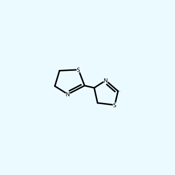 [C]1=NC(C2=NCCS2)CS1